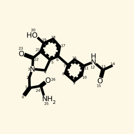 C=C(CN1Cc2c(-c3cccc(NC(C)=O)c3)ccc(O)c2C1=O)C(N)=O